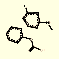 CNc1cccc(Cl)c1.O=C(O)Oc1ccccc1